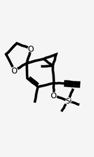 C#CC1(O[Si](C)(C)C)C(C)=CC2(OCCO2)C2CC21C